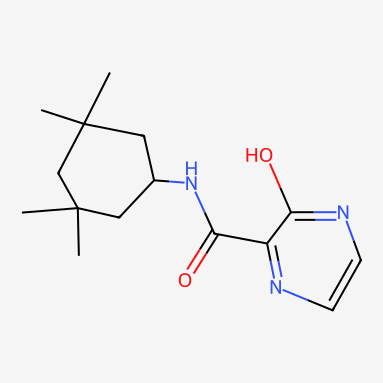 CC1(C)CC(NC(=O)c2nccnc2O)CC(C)(C)C1